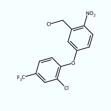 O=[N+]([O-])c1ccc(Oc2ccc(C(F)(F)F)cc2Cl)cc1CCl